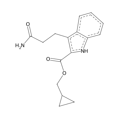 NC(=O)CCc1c(C(=O)OCC2CC2)[nH]c2ccccc12